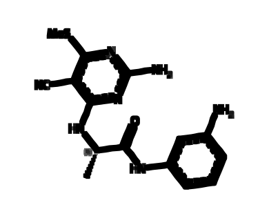 CSc1nc(N)nc(N[C@@H](C)C(=O)Nc2cccc(N)c2)c1C#N